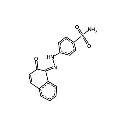 NS(=O)(=O)c1ccc(NN=C2C(=O)C=Cc3ccccc32)cc1